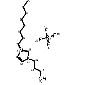 CCCCCCCCN1C=CN(CCCO)C1.F[B-](F)(F)F